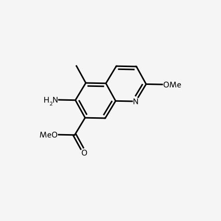 COC(=O)c1cc2nc(OC)ccc2c(C)c1N